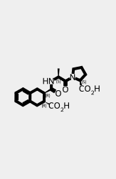 C[C@H](NC(=O)[C@@H]1Cc2ccccc2C[C@H]1C(=O)O)C(=O)N1CCC[C@H]1C(=O)O